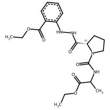 CCOC(=O)c1ccccc1NNC(=O)[C@@H]1CCCN1C(=O)NC(C)C(=O)OCC